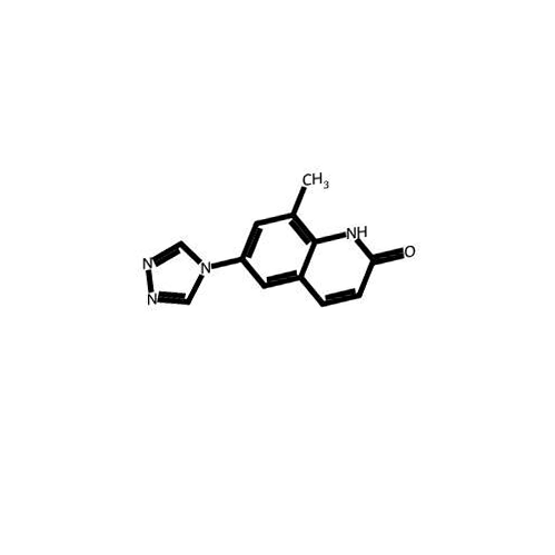 Cc1cc(-n2cnnc2)cc2ccc(=O)[nH]c12